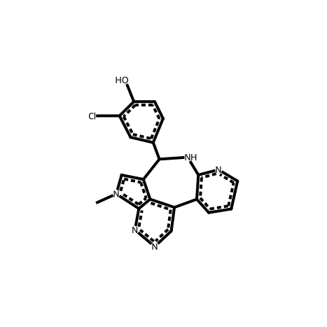 Cn1cc2c3c(cnnc31)-c1cccnc1NC2c1ccc(O)c(Cl)c1